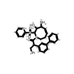 CC(C)CC(C(=O)N1CCC=CC(N)C(O)C1S(=O)(=O)c1ccccn1)c1cccc(-c2ccccc2)c1